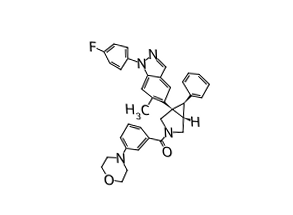 Cc1cc2c(cnn2-c2ccc(F)cc2)cc1[C@]12CN(C(=O)c3cccc(N4CCOCC4)c3)C[C@H]1[C@@H]2c1ccccc1